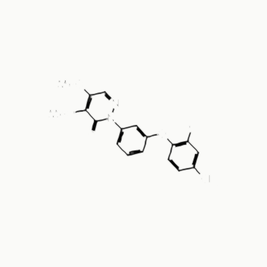 COc1cnn(-c2cccc(Oc3ccc(C(F)(F)F)cc3Cl)c2)c(=O)c1OC